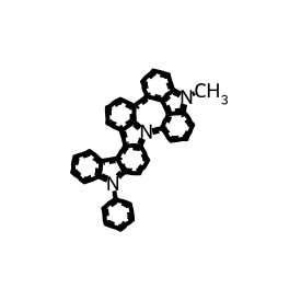 Cn1c2cccc3c4cccc5c6c7c8ccccc8n(-c8ccccc8)c7ccc6n(c6cccc1c6c32)c45